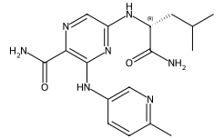 Cc1ccc(Nc2nc(N[C@H](CC(C)C)C(N)=O)cnc2C(N)=O)cn1